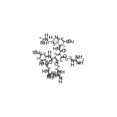 CC(=N)NCCSc1c(N)cc(C(C)(C)C)cc1NC(=O)c1cc(C(=O)Nc2cc(C(C)(C)C)cc(N)c2SCCNC(=N)N)c(OCCNC(=N)N)cc1OCCNC(=N)N